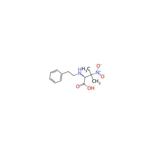 CC(C)([C@H](NCCc1ccccc1)C(=O)O)[N+](=O)[O-]